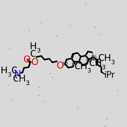 CC(C)CCC[C@@H](C)[C@H]1CCC2C3CC=C4C[C@@H](OCCCCCC(C)OC(=O)CCCN(C)C)CC[C@]4(C)C3CC[C@@]21C